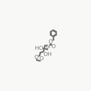 O=C(OCc1ccccc1)N1CC(O)(C(O)CC2OCCO2)C1